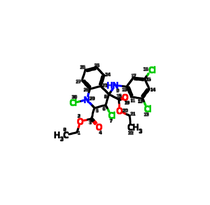 CCOC(=O)C1C(Cl)C(Nc2cc(Cl)cc(Cl)c2)(C(=O)OCC)c2ccccc2N1Cl